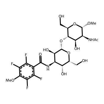 COc1c(F)c(F)c(C(=O)N[C@@H]2[C@@H](O)[C@@H](CO)O[C@@H](O[C@H]3[C@H](O)[C@H](NC(C)=O)[C@@H](OC)O[C@@H]3CO)[C@@H]2O)c(F)c1F